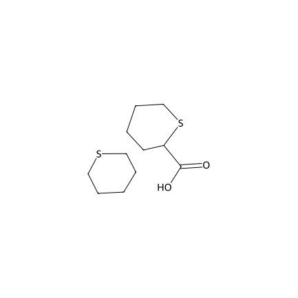 C1CCSCC1.O=C(O)C1CCCCS1